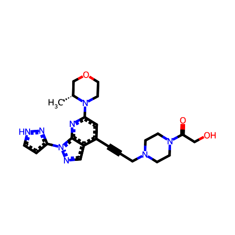 C[C@@H]1COCCN1c1cc(C#CCN2CCN(C(=O)CO)CC2)c2cnn(-c3cc[nH]n3)c2n1